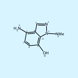 CNn1ncc2c(N)ccc(O)c21